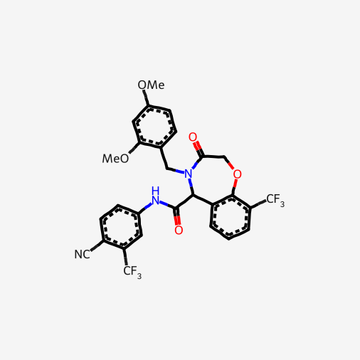 COc1ccc(CN2C(=O)COc3c(cccc3C(F)(F)F)C2C(=O)Nc2ccc(C#N)c(C(F)(F)F)c2)c(OC)c1